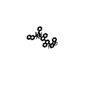 c1ccc(-c2nc(-c3ccc4ccccc4c3)nc(-c3ccc(-c4ccc(-c5nccc6oc7ccccc7c56)c5ccccc45)c4ccccc34)n2)cc1